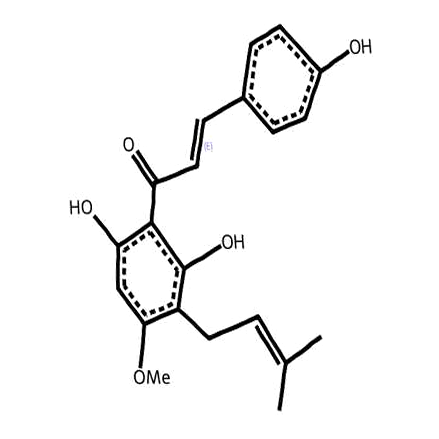 COc1cc(O)c(C(=O)/C=C/c2ccc(O)cc2)c(O)c1CC=C(C)C